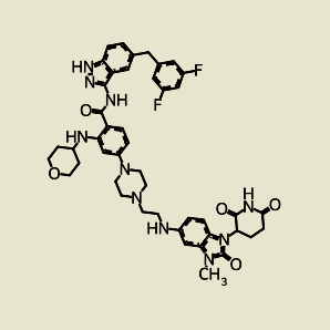 Cn1c(=O)n(C2CCC(=O)NC2=O)c2ccc(NCCN3CCN(c4ccc(C(=O)Nc5n[nH]c6ccc(Cc7cc(F)cc(F)c7)cc56)c(NC5CCOCC5)c4)CC3)cc21